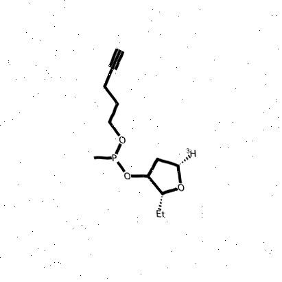 [3H][C@H]1CC(OP(C)OCCCC#C)[C@@H](CC)O1